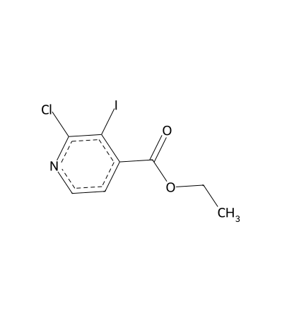 CCOC(=O)c1ccnc(Cl)c1I